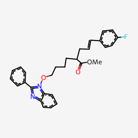 COC(=O)C(CC=Cc1ccc(F)cc1)CCCCOn1c(-c2ccccc2)nc2ccccc21